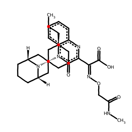 CCC[C@H]1CCC[C@H](N2[C@@H]3CCC[C@H]2C[C@@H](n2c(=O)c(/C(=N/OCC(=O)NC)C(=O)O)nc4ccccc42)C3)C1